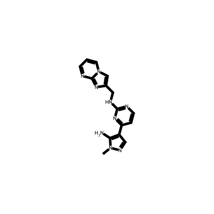 Cn1ncc(-c2ccnc(NCc3cn4cccnc4n3)n2)c1N